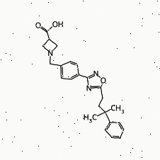 CC(C)(CCc1nc(-c2ccc(CN3CC(C(=O)O)C3)cc2)no1)c1ccccc1